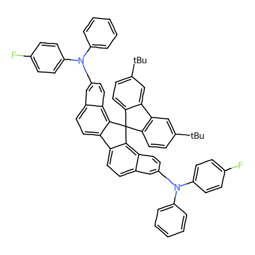 CC(C)(C)c1ccc2c(c1)-c1cc(C(C)(C)C)ccc1C21c2c(ccc3cc(N(c4ccccc4)c4ccc(F)cc4)ccc23)-c2ccc3cc(N(c4ccccc4)c4ccc(F)cc4)ccc3c21